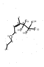 [CH2]CCOCC=C(C)C(F)(F)C(F)(F)F